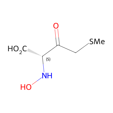 CSCC(=O)[C@H](NO)C(=O)O